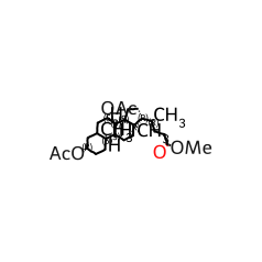 COC(=O)CC[C@@H](C)[C@H]1CC[C@H]2[C@@H]3[C@@H](OC(C)=O)CC4C[C@H](OC(C)=O)CC[C@]4(C)[C@H]3CC[C@]12C